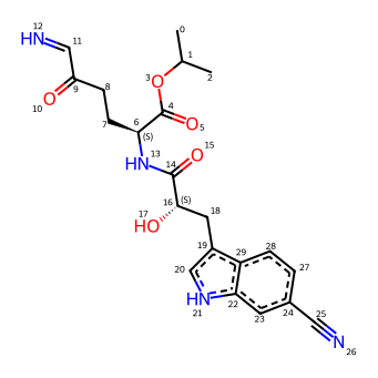 CC(C)OC(=O)[C@H](CCC(=O)C=N)NC(=O)[C@@H](O)Cc1c[nH]c2cc(C#N)ccc12